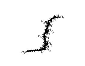 CCCCCCCCCCCCCCCC(=O)Nc1cn(C)c(C(=O)Nc2cc(C(=O)NCCC(=O)Nc3cn(C)c(C(=O)Nc4cc(C(=O)NCCC(=O)Nc5cn(C)c(C(=O)NCCC(=O)NCCCN(C)CCCN)n5)n(C)c4)n3)n(C)c2)n1